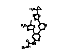 CCNC(=O)Nc1cc(-c2nc(C(F)(F)F)c(C)s2)c(-c2cncc(-c3nnc(C4(N)CC4)o3)c2)cn1